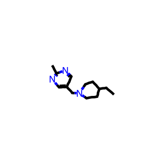 CCC1CCN(Cc2cnc(C)nc2)CC1